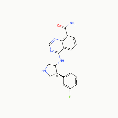 NC(=O)c1cccc2c(NC3CNC[C@@H]3c3cccc(F)c3)ncnc12